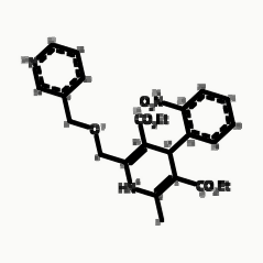 CCOC(=O)C1=C(C)NC(COCc2cccnc2)=C(C(=O)OCC)C1c1ccccc1[N+](=O)[O-]